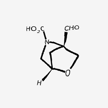 O=C[C@]12CO[C@H](CN1C(=O)O)C2